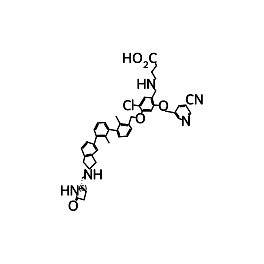 Cc1c(COc2cc(OCc3cncc(C#N)c3)c(CNCCCC(=O)O)cc2Cl)cccc1-c1cccc(-c2ccc3c(c2)CC(NC[C@@H]2CCC(=O)N2)C3)c1C